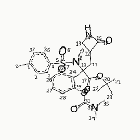 Cc1ccc(S(=O)(=O)N(C)C(CC2CNC2=O)(C(=O)OC(C)(C)C)c2ccccc2OC(=O)N(C)C)cc1